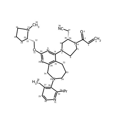 C=CC(=O)N1CCN(c2nc(OC[C@@H]3CCCN3C)nc3c2CCCN(c2c(C)ccnc2C(C)C)C3)C[C@@H]1CC#N